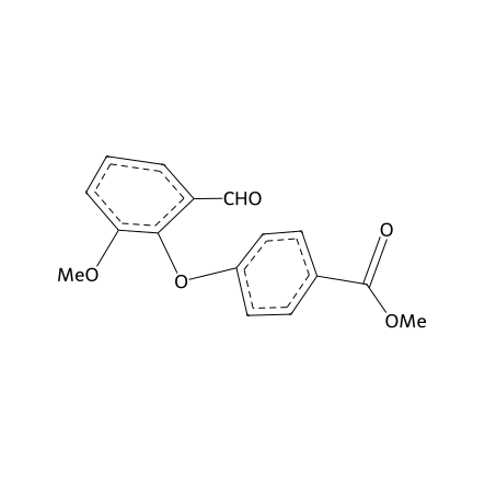 COC(=O)c1ccc(Oc2c(C=O)cccc2OC)cc1